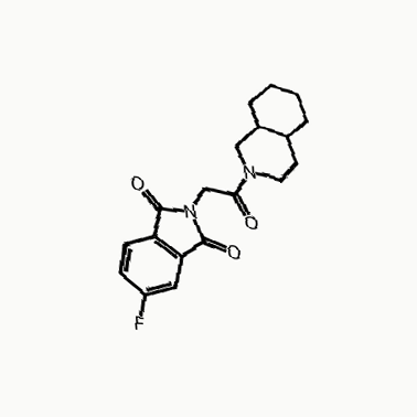 O=C(CN1C(=O)c2ccc(F)cc2C1=O)N1CCC2CCCCC2C1